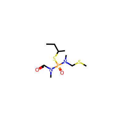 CCC(C)SP(=O)(N(C)C=O)N(C)CSC